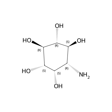 N[C@@H]1[C@H](O)[C@H](O)[C@@H](O)[C@H](O)[C@H]1O